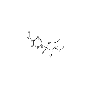 CCN(CC)C(=O)C(F)(F)c1ccc(OC)cc1